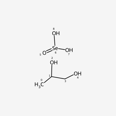 CC(O)CO.O=[Se](O)O